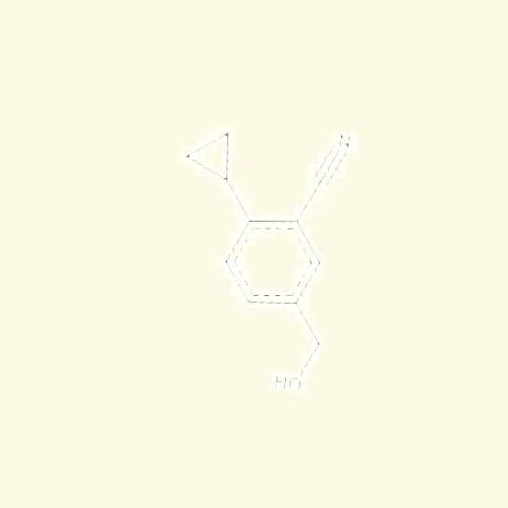 N#Cc1cc(CO)ccc1C1CC1